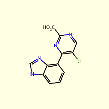 O=C(O)c1ncc(Cl)c(-c2cccc3[nH]cnc23)n1